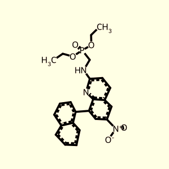 CCOP(=O)(CNc1ccc2cc([N+](=O)[O-])cc(-c3cccc4ccccc34)c2n1)OCC